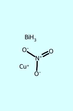 O=[N+]([O-])[O-].[BiH3].[Cu+]